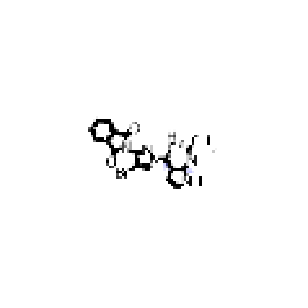 CC/N=C1/NC=C/C1=C(/C)n1cc(Br)c(N2C(=O)c3ccccc3C2=O)n1